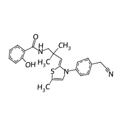 CC1=CN(c2ccc(CC#N)cc2)C(=CC(C)(C)CNC(=O)c2ccccc2O)S1